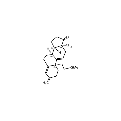 C=C1C=C2CC[C@@H]3C(=CC[C@]4(C)C(=O)CC[C@@H]34)[C@@]2(CCSC)CC1